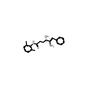 Cc1cccc(C)c1NC(=O)CC[C@H](O)/C(N)=C/c1ccccc1